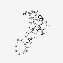 O=C(NC1CCN(CC2CCCCCCC2)CC1)C1(I)c2cc(Br)ccc2Oc2ccc(Br)cc21